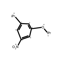 C[C](C)c1cc(OC(C)C)cc([N+](=O)[O-])c1